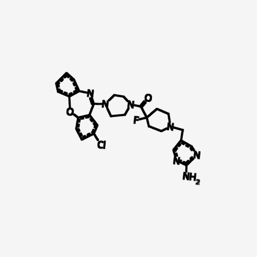 Nc1ncc(CN2CCC(F)(C(=O)N3CCN(C4=Nc5ccccc5Oc5ccc(Cl)cc54)CC3)CC2)cn1